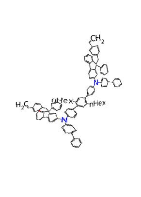 C=Cc1ccc(CC2(c3ccccc3)c3ccccc3-c3ccc(N(c4ccc(-c5ccccc5)cc4)c4ccc(-c5cc(CCCCCC)c(-c6ccc(N(c7ccc(-c8ccccc8)cc7)c7ccc8c(c7)C(Cc7ccc(C=C)cc7)(c7ccccc7)c7ccccc7-8)cc6)cc5CCCCCC)cc4)cc32)cc1